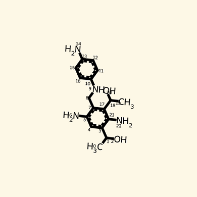 CC(O)c1cc(N)c(CNc2ccc(N)cc2)c(C(C)O)c1N